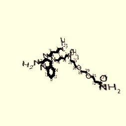 CCCCc1nc2c(N)nc3ccccc3c2n1CCCCN(C)CCCOCCOCCC(N)=O